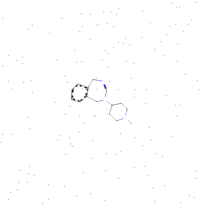 CN1CCC(N2C=NCc3ccccc3C2)CC1